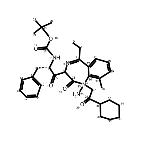 CCC1=NC(C(=O)[C@H](Cc2ccccc2)NC(=O)OC(C)(C)C)C(=O)[N+](N)(CC(=O)C2CCCCC2)c2c(C)cccc21